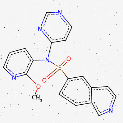 COc1ncccc1N(c1ccncn1)S(=O)(=O)c1ccc2cnccc2c1